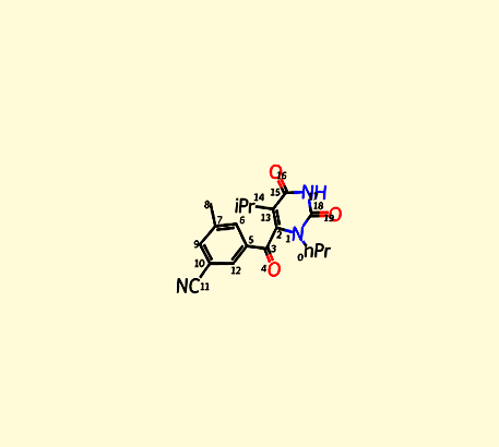 CCCn1c(C(=O)c2cc(C)cc(C#N)c2)c(C(C)C)c(=O)[nH]c1=O